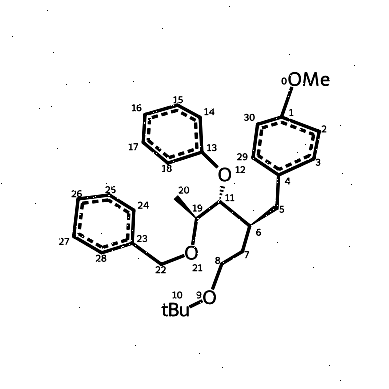 COc1ccc(C[C@@H](CCOC(C)(C)C)[C@@H](Oc2ccccc2)[C@H](C)OCc2ccccc2)cc1